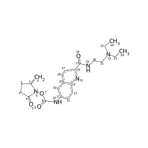 C=C1CCC(=O)N1OC(=O)Nc1ccc2nc(C(=O)NCCN(CC)CC)ccc2c1